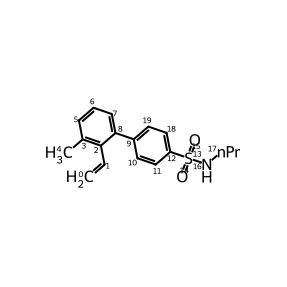 C=Cc1c(C)cccc1-c1ccc(S(=O)(=O)NCCC)cc1